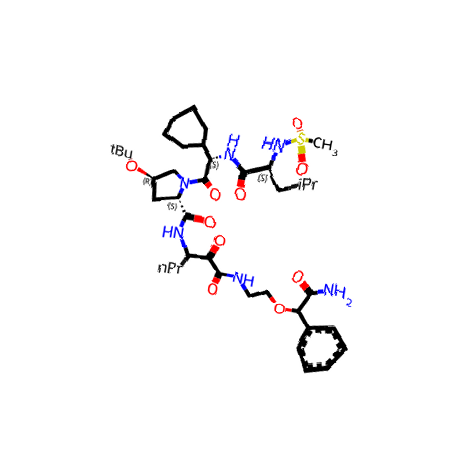 CCCC(NC(=O)[C@@H]1C[C@@H](OC(C)(C)C)CN1C(=O)[C@@H](NC(=O)[C@H](CC(C)C)NS(C)(=O)=O)C1CCCCC1)C(=O)C(=O)NCCOC(C(N)=O)c1ccccc1